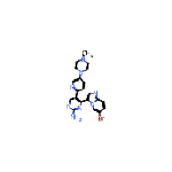 CN1CCN(c2ccc(-c3cnc(N)nc3-c3cnc4ccc(Br)cn34)nc2)CC1